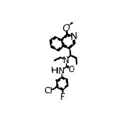 CCC(c1cnc(OC)c2ccccc12)N(CC)C(=O)Nc1ccc(F)c(Cl)c1